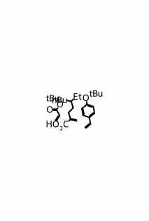 C=C(CCC(CC)CCCC)C(=O)O.C=CC(=O)OC(C)(C)C.C=Cc1ccc(OC(C)(C)C)cc1